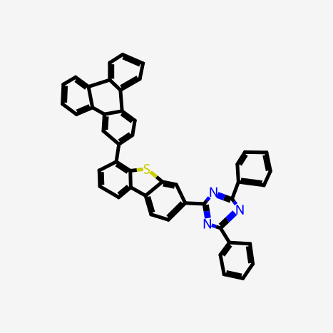 c1ccc(-c2nc(-c3ccccc3)nc(-c3ccc4c(c3)sc3c(-c5ccc6c7ccccc7c7ccccc7c6c5)cccc34)n2)cc1